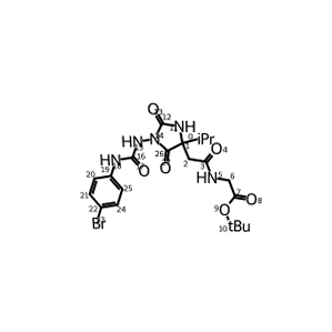 CC(C)C1(CC(=O)NCC(=O)OC(C)(C)C)NC(=O)N(NC(=O)Nc2ccc(Br)cc2)C1=O